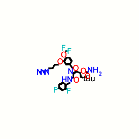 CC(C)(C)CC(OC(N)=O)c1oc(-c2ccc(OC(F)F)c(OCCCCN=[N+]=[N-])c2)nc1C(=O)NCc1ccc(F)cc1F